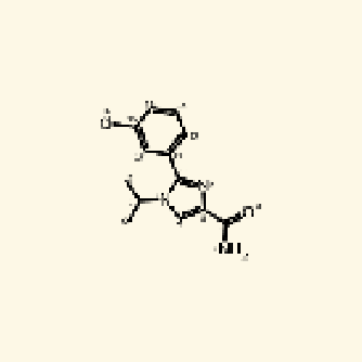 CC(C)n1cc(C(N)=O)nc1-c1cccc(Cl)c1